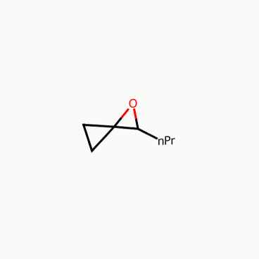 CCCC1OC12CC2